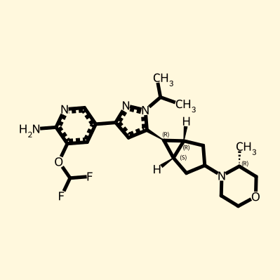 CC(C)n1nc(-c2cnc(N)c(OC(F)F)c2)cc1[C@H]1[C@@H]2CC(N3CCOC[C@H]3C)C[C@@H]21